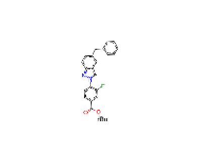 CCCCOC(=O)c1ccc(-n2cc3cc(Cc4ccccc4)ccc3n2)c(F)c1